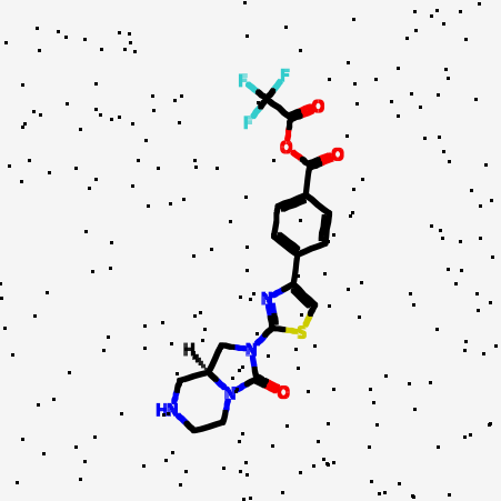 O=C(OC(=O)C(F)(F)F)c1ccc(-c2csc(N3C[C@@H]4CNCCN4C3=O)n2)cc1